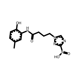 Cc1ccc(O)c(NC(=O)CCCn2cnc([N+](=O)O)n2)c1